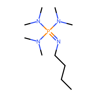 CCCCN=P(N(C)C)(N(C)C)N(C)C